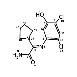 NC(=O)C(=Nc1cc(O)c(Cl)cc1Cl)N1CCCC1